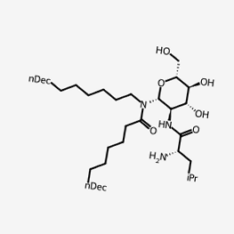 CCCCCCCCCCCCCCCCN(C(=O)CCCCCCCCCCCCCCC)[C@@H]1O[C@H](CO)[C@@H](O)[C@H](O)[C@H]1NC(=O)[C@@H](N)CC(C)C